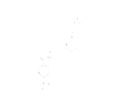 COC(C)(C)c1ccc(C(=O)N2CCC(N3CCCC(COC(C)(C)C)C3)CC2)cc1